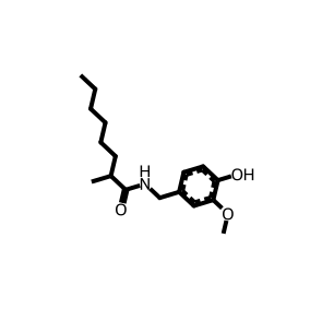 CCCCCCC(C)C(=O)NCc1ccc(O)c(OC)c1